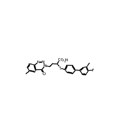 Cc1ccc2nnn(CCC(Sc3ccc(-c4ccc(F)c(C)c4)cc3)C(=O)O)c(=O)c2c1